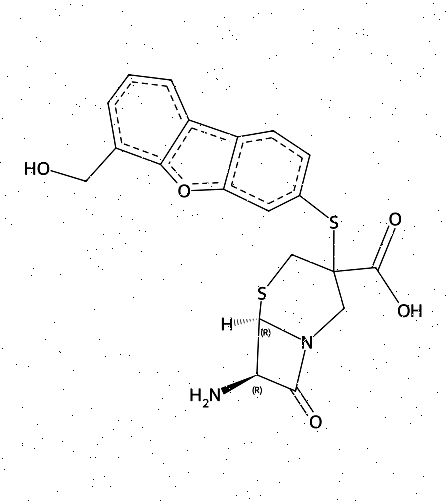 N[C@@H]1C(=O)N2CC(Sc3ccc4c(c3)oc3c(CO)cccc34)(C(=O)O)CS[C@H]12